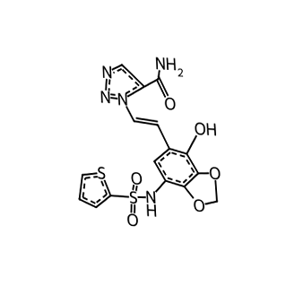 NC(=O)c1cnnn1/C=C/c1cc(NS(=O)(=O)c2cccs2)c2c(c1O)OCO2